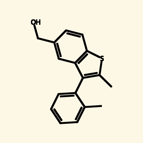 Cc1ccccc1-c1c(C)sc2ccc(CO)cc12